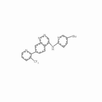 CC(C)(C)c1ccc(Nc2cnnc3cc(-c4ncccc4C(F)(F)F)ccc23)nc1